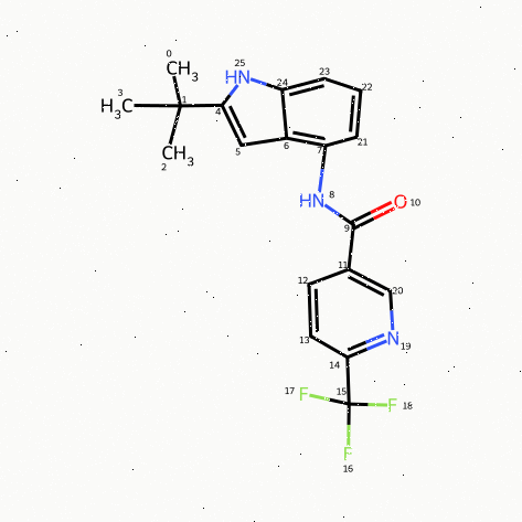 CC(C)(C)c1cc2c(NC(=O)c3ccc(C(F)(F)F)nc3)cccc2[nH]1